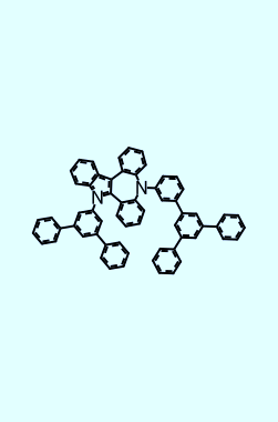 c1ccc(-c2cc(-c3ccccc3)cc(-c3cccc(N4c5ccccc5-c5c(n(-c6cc(-c7ccccc7)cc(-c7ccccc7)c6)c6ccccc56)-c5ccccc54)c3)c2)cc1